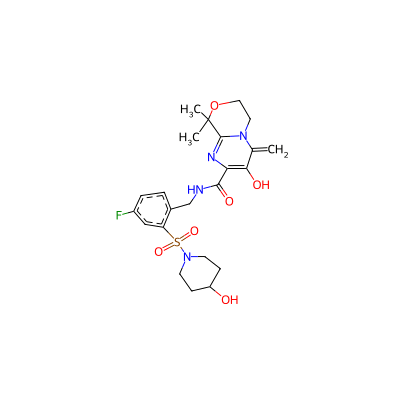 C=C1C(O)=C(C(=O)NCc2ccc(F)cc2S(=O)(=O)N2CCC(O)CC2)N=C2N1CCOC2(C)C